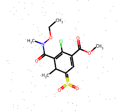 CCON(C)C(=O)C1=C(Cl)C(C(=O)OC)=CC(=S(=O)=O)C1C